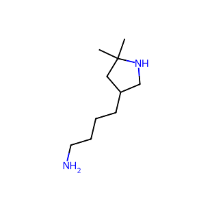 CC1(C)CC(CCCCN)CN1